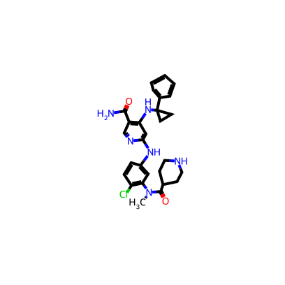 CN(C(=O)C1CCNCC1)c1cc(Nc2cc(NC3(c4ccccc4)CC3)c(C(N)=O)cn2)ccc1Cl